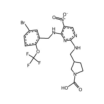 O=C(O)N1CCC(CNc2ncc([N+](=O)[O-])c(NCc3cc(Br)ccc3OC(F)(F)F)n2)C1